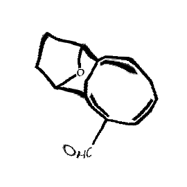 O=Cc1cccc2c1C1CCC2O1